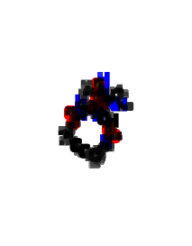 CC[C@@H]1C#CC[C@]1(NC(=O)[C@@H]1C[C@@H]2CN1C(=O)[C@H](C(C)(C)C)NC(=O)OCC(C)(C)CCCCc1cccc3c1CN(C3)C(=O)O2)C(=O)NS(=O)(=O)C1CC1